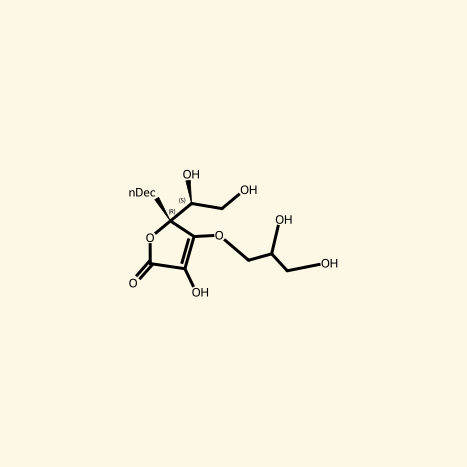 CCCCCCCCCC[C@]1([C@@H](O)CO)OC(=O)C(O)=C1OCC(O)CO